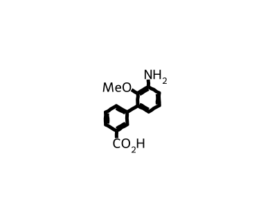 COc1c(N)cccc1-c1cccc(C(=O)O)c1